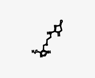 Cc1nc[nH]c1CSCCNC1=NC(=O)CN1